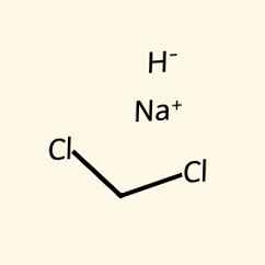 ClCCl.[H-].[Na+]